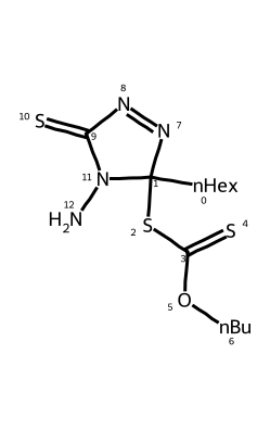 CCCCCCC1(SC(=S)OCCCC)N=NC(=S)N1N